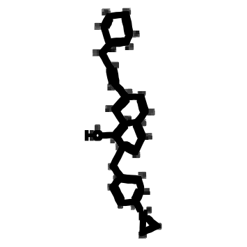 Oc1c(Cc2ccc(N3CC3)cc2)ccc2ccc(C#CCc3ccccc3)cc12